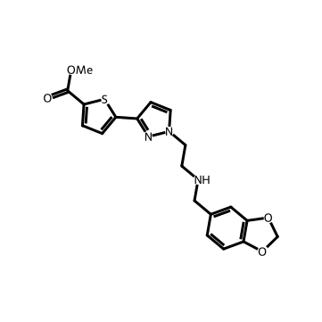 COC(=O)c1ccc(-c2ccn(CCNCc3ccc4c(c3)OCO4)n2)s1